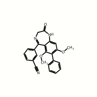 COc1cc2c(c(OC)c1-c1ccccc1)C(c1cccc(C#N)c1)=NCC(=O)N2